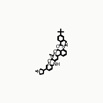 CN1CCC(c2ccc(Nc3cc(-c4cccc(-n5ncc6cc(C(C)(C)C)ccc6c5=O)c4C=O)nn(C)c3=O)nc2)C1